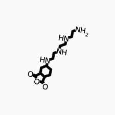 NCCNCCNCCNC1CCC2C(=O)OC(=O)C2C1